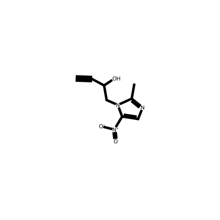 C#CC(O)Cn1c([N+](=O)[O-])cnc1C